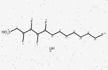 O=S(=O)(O)CC(F)C(F)C(F)C(F)CCCCCCCF.[LiH]